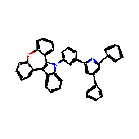 c1ccc(-c2cc(-c3ccccc3)nc(-c3cccc(-n4c5c(c6ccccc64)-c4ccccc4Oc4ccccc4-5)c3)c2)cc1